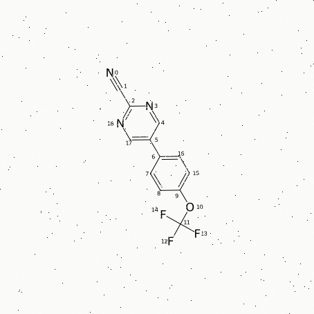 N#Cc1ncc(-c2ccc(OC(F)(F)F)cc2)cn1